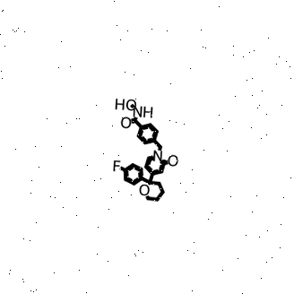 O=C(NO)c1ccc(Cn2ccc(C3(c4ccc(F)cc4)CCCCO3)cc2=O)cc1